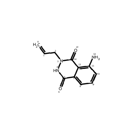 C=CCn1[nH]c(=O)c2cccc(N)c2c1=O